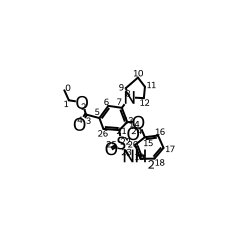 CCOC(=O)c1cc(N2CCCC2)c(Oc2ccccc2)c(S(N)(=O)=O)c1